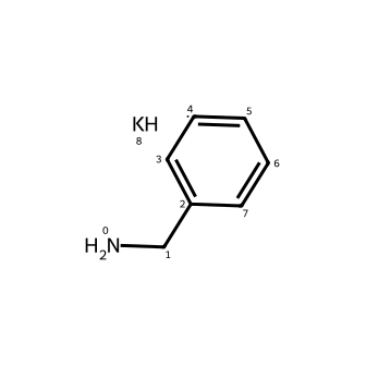 NCc1c[c]ccc1.[KH]